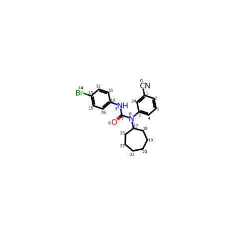 N#Cc1cccc(N(C(=O)Nc2ccc(Br)cc2)C2CCCCCC2)c1